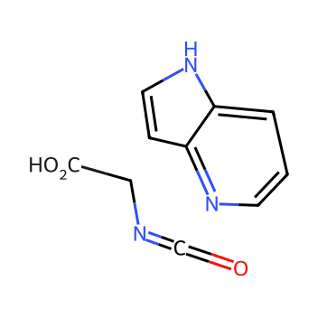 O=C=NCC(=O)O.c1cnc2cc[nH]c2c1